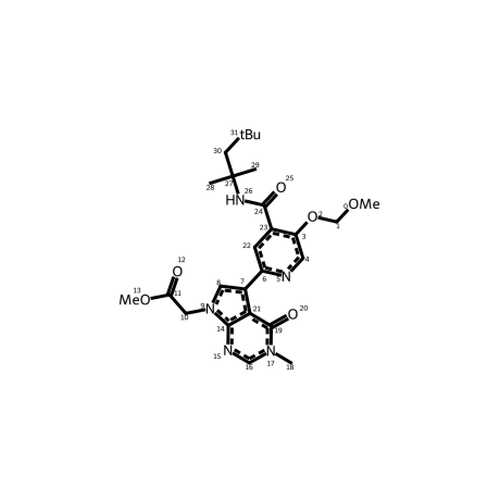 COCOc1cnc(-c2cn(CC(=O)OC)c3ncn(C)c(=O)c23)cc1C(=O)NC(C)(C)CC(C)(C)C